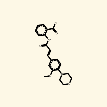 COc1cc(C=CC(=O)Nc2ccccc2C(=O)O)ccc1N1CCOCC1